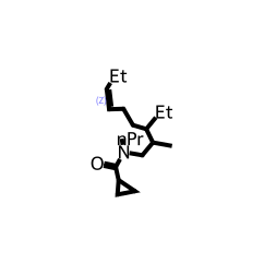 CC/C=C\CCC(CC)C(C)CN(CCC)C(=O)C1CC1